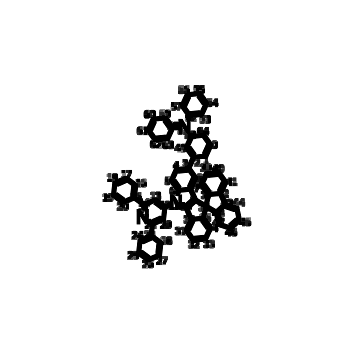 C1=CC(c2ccc3c(c2)c2c(n3-c3cc(-c4ccccc4)nc(-c4ccccc4)c3)-c3ccccc3C23c2ccccc2-c2ccccc23)=CC(N(c2ccccc2)c2ccccc2)C1